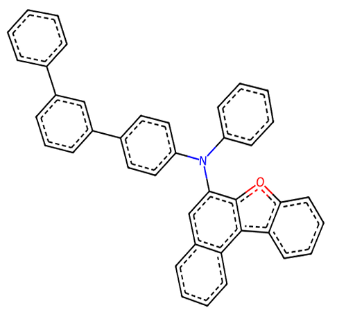 c1ccc(-c2cccc(-c3ccc(N(c4ccccc4)c4cc5ccccc5c5c4oc4ccccc45)cc3)c2)cc1